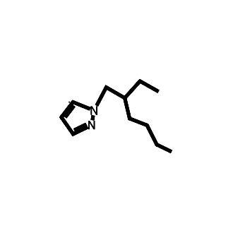 CCCCC(CC)Cn1[c]ccn1